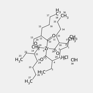 CCCCC(CC)[C](=O)[Zr]([C](=O)C(CC)CCCC)([C](=O)C(CC)CCCC)[C](=O)C(CC)CCCC.Cl.Cl